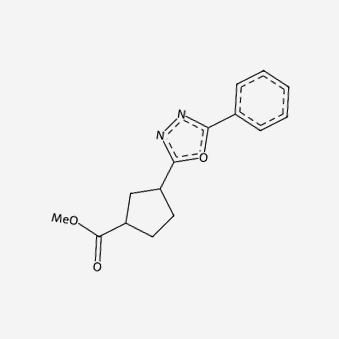 COC(=O)C1CCC(c2nnc(-c3ccccc3)o2)C1